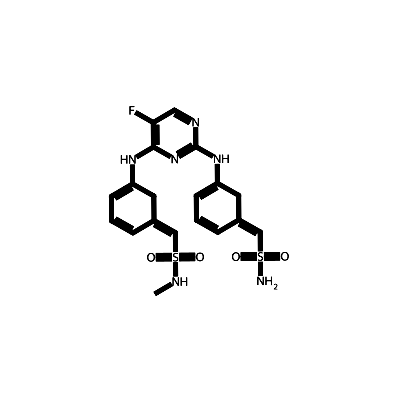 CNS(=O)(=O)C=C1C=CC=C(Nc2nc(NC3=CC=CC(=CS(N)(=O)=O)C3)ncc2F)C1